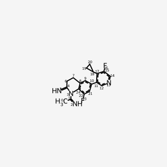 CC(=N)N1C(=N)CCc2cc(-c3cncc(F)c3C3CC3)cc(F)c21